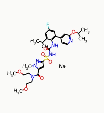 COCCN(CCOC)C(=O)c1cc(S(=O)(=O)NC(=O)Nc2c(-c3ccnc(OC(C)C)c3)cc(F)cc2C(C)C)nn1C.[Na]